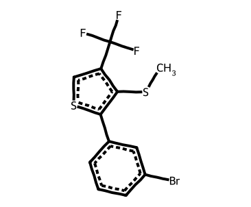 CSc1c(C(F)(F)F)csc1-c1cccc(Br)c1